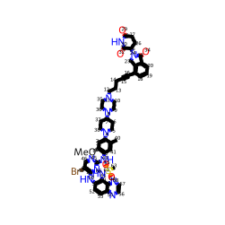 COc1cc(N2CCC(N3CCN(CCCC#Cc4cccc5c4CN(C4CCC(=O)NC4=O)C5=O)CC3)CC2)c(C)cc1Nc1ncc(Br)c(Nc2ccc3nccnc3c2NS(C)(=O)=O)n1